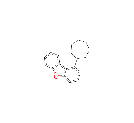 c1ccc2c(c1)oc1cccc([C]3CCCCCC3)c12